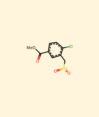 COC(=O)c1ccc(Cl)c(C[SH](=O)=O)c1